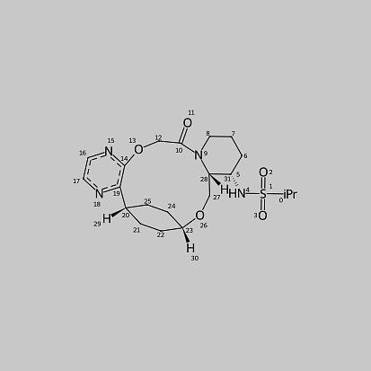 CC(C)S(=O)(=O)N[C@H]1CCCN2C(=O)COc3nccnc3[C@H]3CC[C@H](CC3)OC[C@@H]12